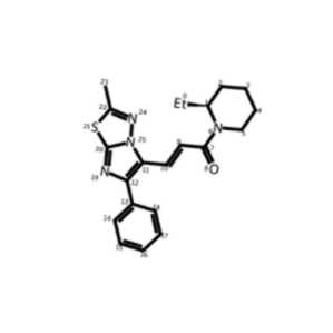 CC[C@H]1CCCCN1C(=O)/C=C/c1c(-c2ccccc2)nc2sc(C)nn12